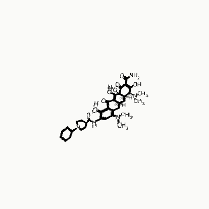 CN(C)c1cc(NC(=O)C2CCN(C3CCCCC3)CC2)c(O)c2c1C[C@H]1C[C@H]3[C@H](N(C)C)C(O)=C(C(N)=O)C(=O)[C@@]3(O)C(O)=C1C2=O